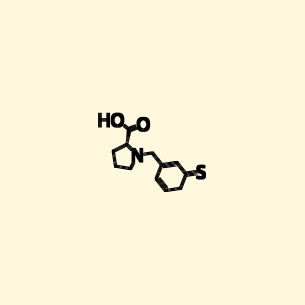 O=C(O)[C@@H]1CCCN1CC1=CC(=S)CC=C1